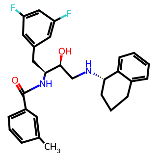 Cc1cccc(C(=O)N[C@@H](Cc2cc(F)cc(F)c2)[C@@H](O)CN[C@H]2CCCc3ccccc32)c1